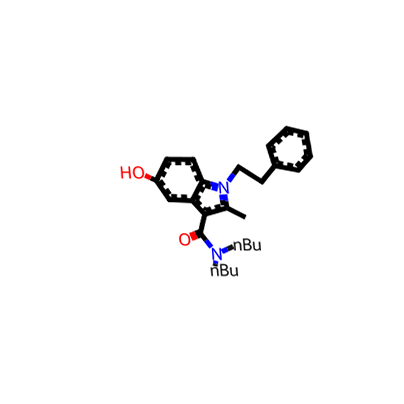 CCCCN(CCCC)C(=O)c1c(C)n(CCc2ccccc2)c2ccc(O)cc12